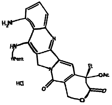 CCCCCNc1c2c(nc3cccc(N)c13)-c1cc3c(c(=O)n1C2)COC(=O)[C@@]3(CC)OC(C)=O.Cl